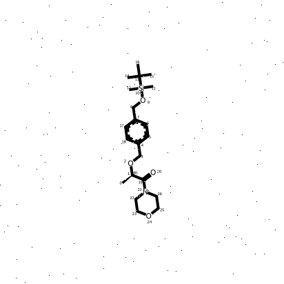 C[C@@H](OCc1ccc(CO[Si](C)(C)C(C)(C)C)cc1)C(=O)N1CCOCC1